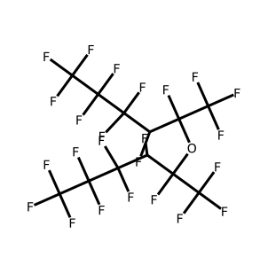 FC(C(F)(F)C(F)(F)C(F)(F)F)C(F)(OC(F)(C(F)C(F)(F)C(F)(F)C(F)(F)F)C(F)(F)F)C(F)(F)F